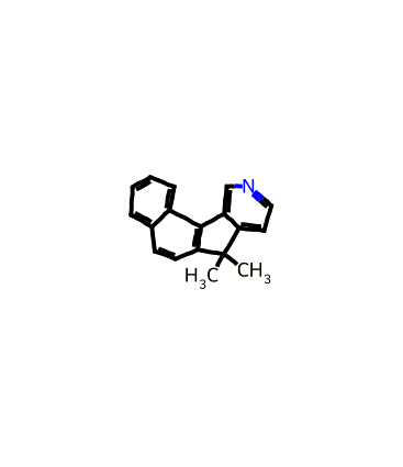 CC1(C)c2ccncc2-c2c1ccc1ccccc21